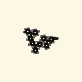 [Co].c1ccc(P(c2ccccc2)c2ccccc2)cc1.c1ccc(P(c2ccccc2)c2ccccc2)cc1.c1ccc(P(c2ccccc2)c2ccccc2)cc1